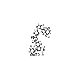 C=C1CCC(c2ccc(C(=O)OC(=O)c3ccc(C4CCC(=C)C4c4cc5c(cc4C)C(C)(C)CCC5(C)C)cc3)cc2)C1c1ccc2c(c1)C(C)(C)CCC2(C)C